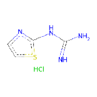 Cl.N=C(N)Nc1nccs1